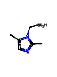 Cc1cnc(C)n1CS(=O)(=O)O